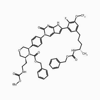 C[C@@H](CCCc1cc(OC(F)(F)F)c(F)c(-c2cc3cn(-c4ccc([C@@H]5COC[C@H](CCNC(=O)OC(C)(C)C)N5C(=O)OCc5ccccc5)cc4)c(=O)nc3[nH]2)c1)NC(=O)OCc1ccccc1